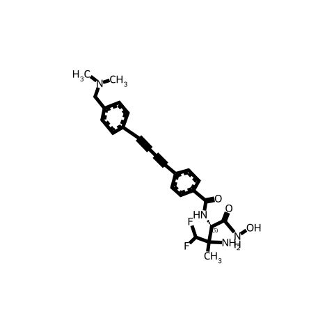 CN(C)Cc1ccc(C#CC#Cc2ccc(C(=O)N[C@H](C(=O)NO)C(C)(N)C(F)F)cc2)cc1